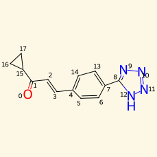 O=C(/C=C/c1ccc(-c2nnn[nH]2)cc1)C1CC1